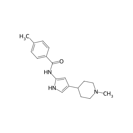 Cc1ccc(C(=O)Nc2cc(C3CCN(C)CC3)c[nH]2)cc1